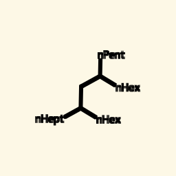 CCCCCCCC(CCCCCC)CC(CCCCC)CCCCCC